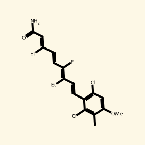 CCC(/C=C/c1c(Cl)cc(OC)c(C)c1Cl)=C(F)\C=C\C(=C\C(N)=O)CC